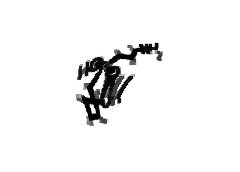 NCCCP(=O)(O)CC1(O)CCC1